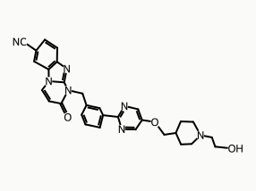 N#Cc1ccc2nc3n(Cc4cccc(-c5ncc(OCC6CCN(CCO)CC6)cn5)c4)c(=O)ccn3c2c1